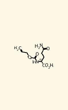 C=CCOC(=O)N[C@@H](CCC(N)=O)C(=O)O